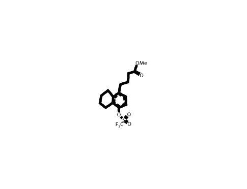 COC(=O)CCCc1ccc(OS(=O)(=O)C(F)(F)F)c2c1CCCC2